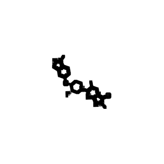 Cc1cn2c(=O)n(C)nc2nc1N1CC[C@@H](Oc2ccc3c(cnn3C)c2)[C@@H](F)C1